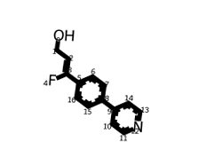 OCC=C(F)c1ccc(-c2ccncc2)cc1